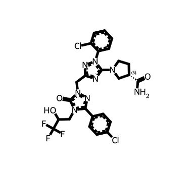 NC(=O)[C@H]1CCN(c2nc(Cn3nc(-c4ccc(Cl)cc4)n(CC(O)C(F)(F)F)c3=O)nn2-c2ccccc2Cl)C1